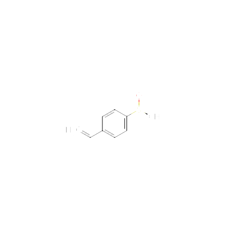 C=Cc1ccc([S@+](C)[O-])cc1